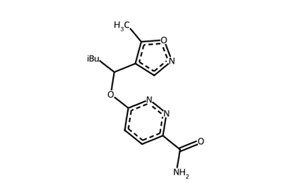 CCC(C)C(Oc1ccc(C(N)=O)nn1)c1cnoc1C